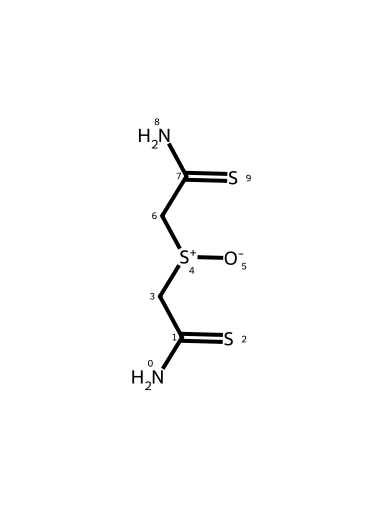 NC(=S)C[S+]([O-])CC(N)=S